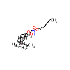 CCC#CC#CCCCCOC(=O)NCC(=O)O[C@H]1CC[C@@]2(C)C(=CC[C@@H]3[C@@H]2CC[C@@]2(C)[C@H]3CC[C@]2(C)[C@H](C)CCCC(C)C)C1